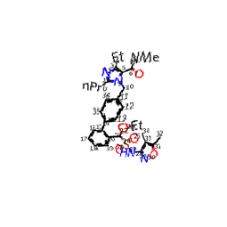 CCCc1nc(CC)c(C(=O)NC)n1Cc1ccc(-c2ccccc2C(OCC)S(=O)(=O)Nc2noc(C)c2C)cc1